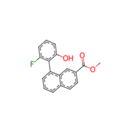 COC(=O)c1ccc2cccc(-c3c(O)cccc3F)c2c1